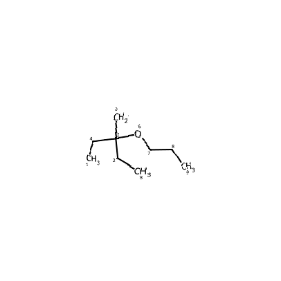 [CH2]C(CC)(CC)OCCC